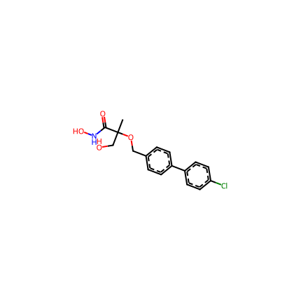 CC(CO)(OCc1ccc(-c2ccc(Cl)cc2)cc1)C(=O)NO